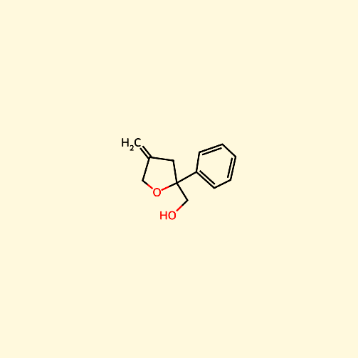 C=C1COC(CO)(c2ccccc2)C1